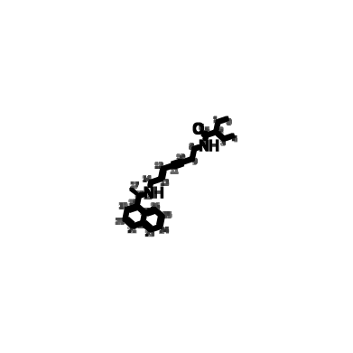 CCC(CC)C(=O)NCCC#C/C=C/CN[C@H](C)c1cccc2ccccc12